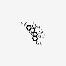 Cc1ccc2c(c1)C(C)(C)CC1(CC(C)(C)c3cc(C)ccc3O1)O2